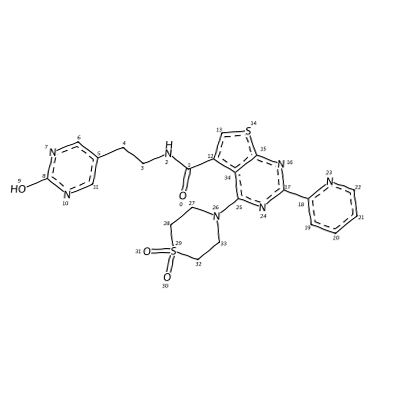 O=C(NCCc1cnc(O)nc1)c1csc2nc(-c3ccccn3)nc(N3CCS(=O)(=O)CC3)c12